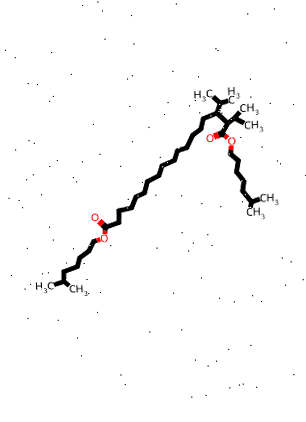 CC(C)CCCCCOC(=O)CCCCCCCCCCCCCCC(C(C)C)C(C(=O)OCCCCCC(C)C)C(C)C